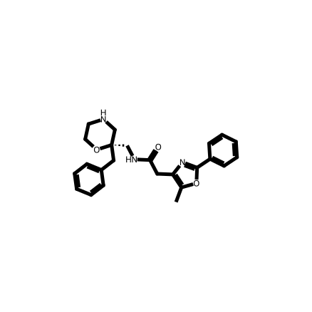 Cc1oc(-c2ccccc2)nc1CC(=O)NC[C@@]1(Cc2ccccc2)CNCCO1